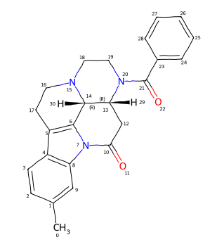 Cc1ccc2c3c4n(c2c1)C(=O)C[C@@H]1[C@H]4N(CC3)CCN1C(=O)c1ccccc1